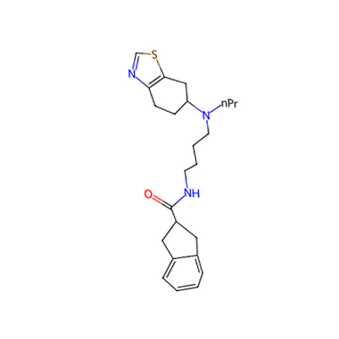 CCCN(CCCCNC(=O)C1Cc2ccccc2C1)C1CCc2ncsc2C1